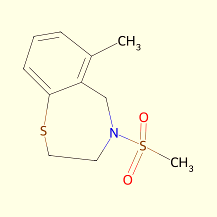 Cc1cccc2c1CN(S(C)(=O)=O)CCS2